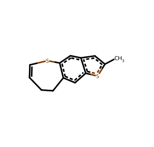 Cc1cc2cc3c(cc2s1)CCC=CS3